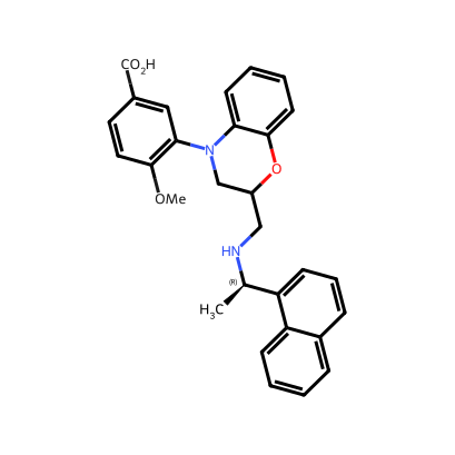 COc1ccc(C(=O)O)cc1N1CC(CN[C@H](C)c2cccc3ccccc23)Oc2ccccc21